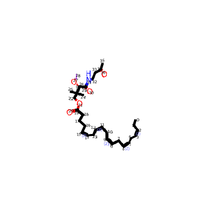 CC/C=C\C/C=C\C/C=C\C/C=C\C/C=C\CCCC(=O)OCC(C)(C)[C@@H](OI)C(=O)NCCC(C)=O